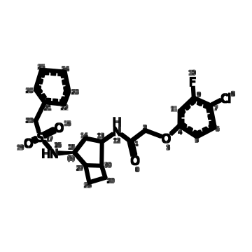 O=C(COc1ccc(Cl)c(F)c1)NC1C[C@H](NS(=O)(=O)Cc2ccccc2)C2CCC12